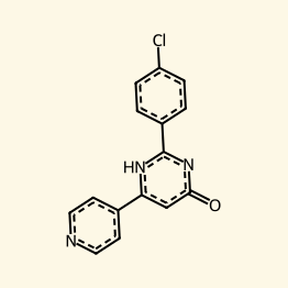 O=c1cc(-c2ccncc2)[nH]c(-c2ccc(Cl)cc2)n1